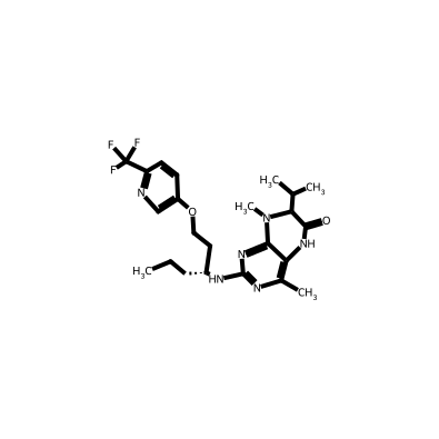 CCC[C@H](CCOc1ccc(C(F)(F)F)nc1)Nc1nc(C)c2c(n1)N(C)C(C(C)C)C(=O)N2